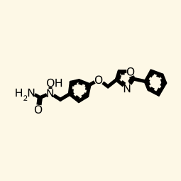 NC(=O)N(O)Cc1ccc(OCc2coc(-c3ccccc3)n2)cc1